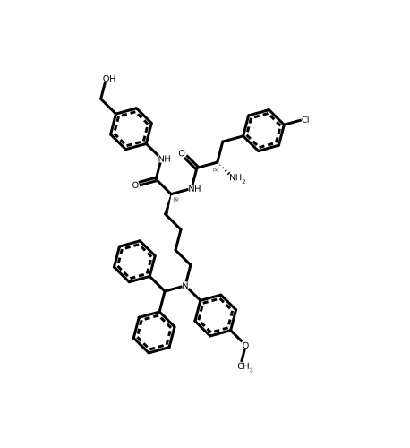 COc1ccc(N(CCCC[C@H](NC(=O)[C@@H](N)Cc2ccc(Cl)cc2)C(=O)Nc2ccc(CO)cc2)C(c2ccccc2)c2ccccc2)cc1